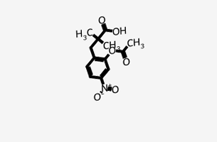 CC(=O)Oc1cc([N+](=O)[O-])ccc1CC(C)(C)C(=O)O